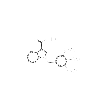 COc1cc(Cn2cc(C(=O)C=O)c3ccccc32)cc(OC)c1OC